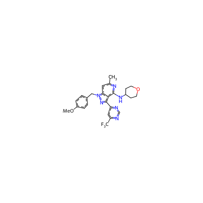 COc1ccc(Cn2nc(-c3cc(C(F)(F)F)ncn3)c3c(NC4CCOCC4)nc(C)cc32)cc1